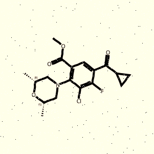 COC(=O)c1cc(C(=O)C2CC2)c(F)c(Cl)c1N1C[C@@H](C)O[C@@H](C)C1